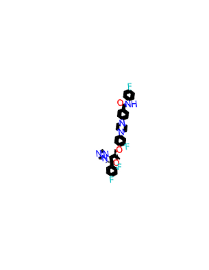 O=C(Nc1ccc(F)cc1)c1ccc(N2CCN(c3ccc(OC[C@H]4CO[C@@](Cn5cncn5)(c5ccc(F)cc5F)C4)c(F)c3)CC2)cc1